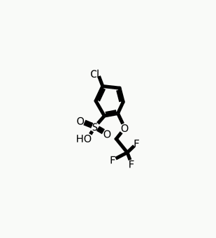 O=S(=O)(O)c1cc(Cl)ccc1OCC(F)(F)F